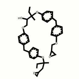 CCC(C)(CC1CO1)Oc1ccc(Cc2ccc(OCC(O)C(C)(CC)Oc3ccc(Cc4ccc(OCC5CO5)cc4)cc3)cc2)cc1